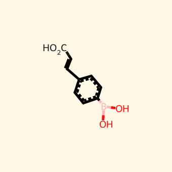 O=C(O)C=Cc1ccc(B(O)O)cc1